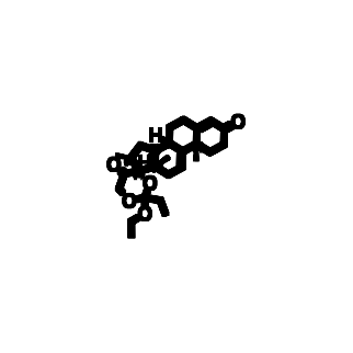 CCOC1(CC)OCC(=O)[C@@]2(O1)[C@@H](C)C[C@H]1[C@@H]3CCC4=CC(=O)CC[C@]4(C)C3=CC[C@@]12C